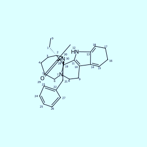 CC[C@@]12CCCCN3CCc4c([nH]c5c4=CCCC=5)[C@]31N(Cc1ccccc1)C(=O)C2